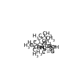 CC(C)C(C)(C)CC(C(=O)NC(C)(C)CS(=O)(=O)O)C(C)(C)C(C)C